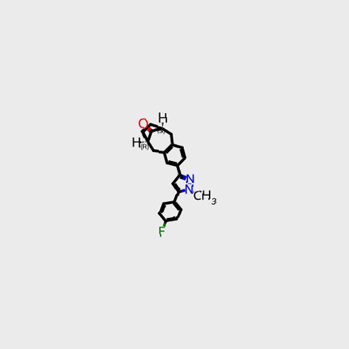 Cn1nc(-c2ccc3c(c2)C[C@H]2CC[C@@H](C3)C2=O)cc1-c1ccc(F)cc1